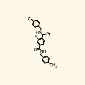 Cc1ccc(CNC(=O)c2ccc(C(NCc3ccc(Cl)cc3)C(C)C)c(F)c2)cc1